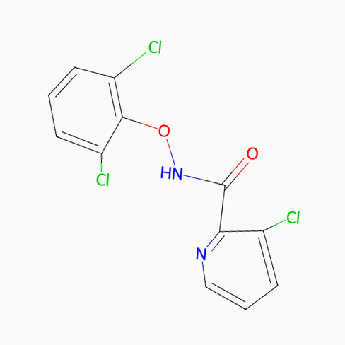 O=C(NOc1c(Cl)cccc1Cl)c1ncccc1Cl